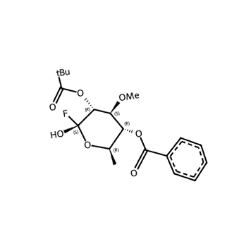 CO[C@H]1[C@H](OC(=O)c2ccccc2)[C@@H](C)O[C@](O)(F)[C@@H]1OC(=O)C(C)(C)C